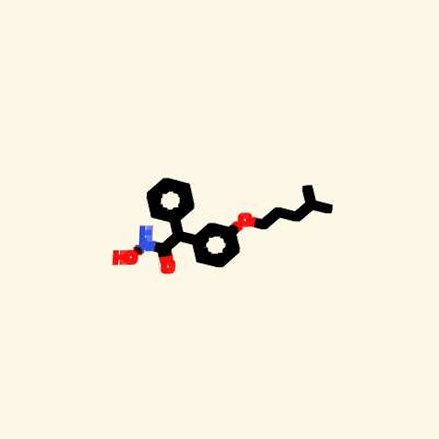 CC(C)CCCOc1cccc(C(C(=O)NO)c2ccccc2)c1